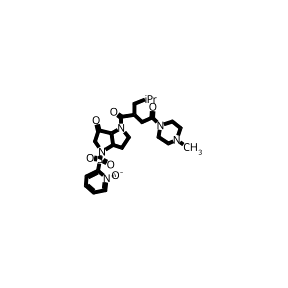 CC(C)CC(CC(=O)N1CCN(C)CC1)C(=O)N1CCC2C1C(=O)CN2S(=O)(=O)c1cccc[n+]1[O-]